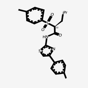 Cc1ccc(-c2csc(NC(=O)[C@H](CC(C)C)S(=O)(=O)c3ccc(C)cc3)n2)cc1